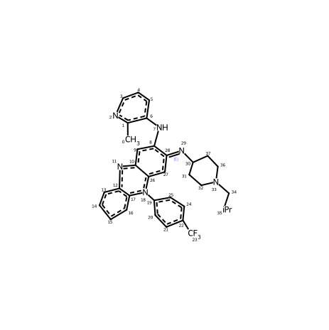 Cc1ncccc1Nc1cc2nc3ccccc3n(-c3ccc(C(F)(F)F)cc3)c-2c/c1=N\C1CCN(CC(C)C)CC1